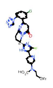 COCCN(C(=O)O)c1ccc(-c2[nH]c([C@@H]3CCc4nc(-c5cc(Cl)ccc5-n5cnnn5)cc(=O)n43)nc2F)nc1